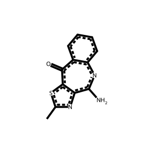 Cc1nc2c(N)nc3ccccc3c(=O)c2s1